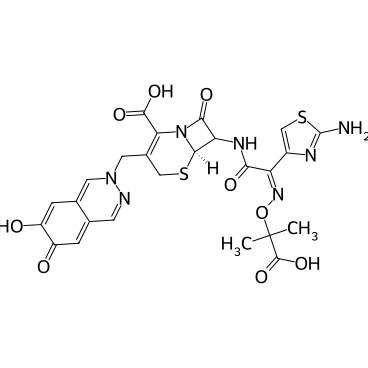 CC(C)(O/N=C(\C(=O)NC1C(=O)N2C(C(=O)O)=C(Cn3cc4cc(O)c(=O)cc-4cn3)CS[C@H]12)c1csc(N)n1)C(=O)O